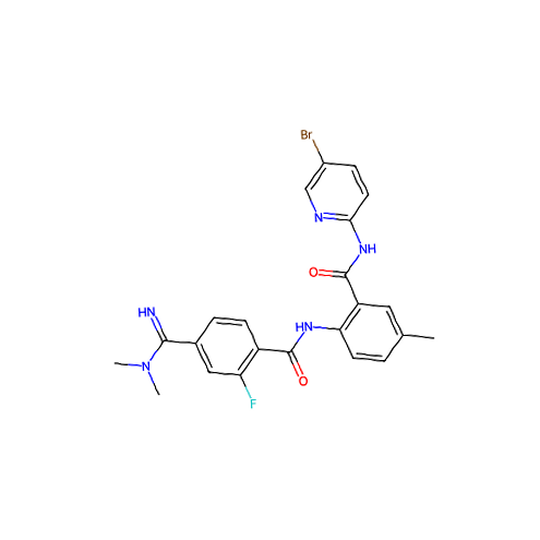 Cc1ccc(NC(=O)c2ccc(C(=N)N(C)C)cc2F)c(C(=O)Nc2ccc(Br)cn2)c1